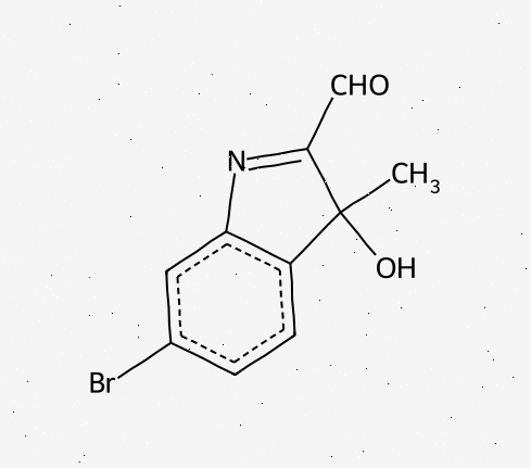 CC1(O)C(C=O)=Nc2cc(Br)ccc21